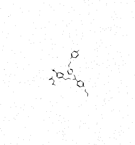 CCCOc1ccc(C(Cn2cc[n+](CCNc3ccc(Cl)cc3)c2)OCCc2ccc(C#N)cc2)cc1.O=C([O-])CC(=O)O